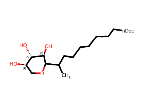 CCCCCCCCCCCCCCCCCC(C)C1OC[C@@H](O)[C@H](O)[C@H]1O